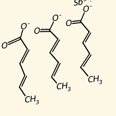 CC=CC=CC(=O)[O-].CC=CC=CC(=O)[O-].CC=CC=CC(=O)[O-].[Sb+3]